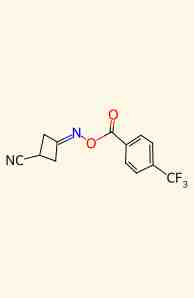 N#CC1CC(=NOC(=O)c2ccc(C(F)(F)F)cc2)C1